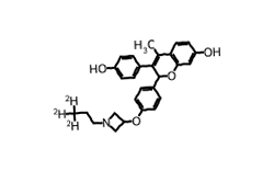 [2H]C([2H])([2H])CCN1CC(Oc2ccc(C3Oc4cc(O)ccc4C(C)=C3c3ccc(O)cc3)cc2)C1